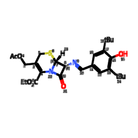 CCOC(=O)C1=C(COC(C)=O)CS[C@@H]2[C@H](N=Cc3cc(C(C)(C)C)c(O)c(C(C)(C)C)c3)C(=O)N12